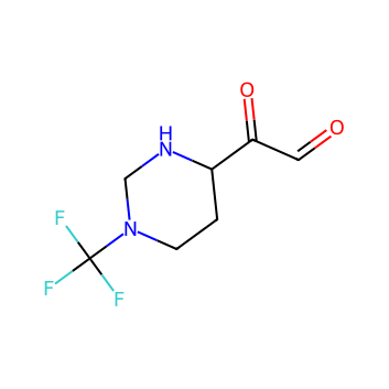 O=CC(=O)C1CCN(C(F)(F)F)CN1